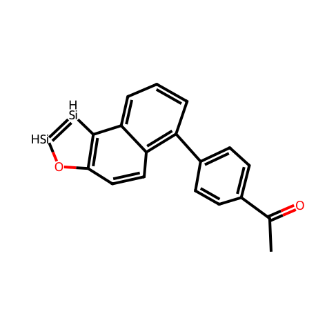 CC(=O)c1ccc(-c2cccc3c2ccc2o[siH][siH]c23)cc1